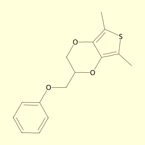 Cc1sc(C)c2c1OCC(COc1ccccc1)O2